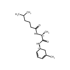 CC1=C[C]=C[C@@H](NC(=O)[C@H](C)NC(=O)CCCC(C)C)C1